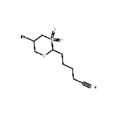 C#CCCCCC1OCC(C(C)C)CS1(=O)=O